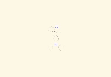 c1ccc(N(c2ccccc2)c2ccc(-c3ccnc4ccccc34)cc2)cc1